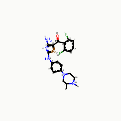 CC1CN(c2ccc(Nc3nc(N)c(C(=O)c4c(F)cccc4F)s3)cc2)CCN1C